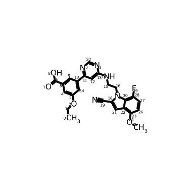 CCOc1cc(C(=O)O)cc(-c2cc(NCCn3c(C#N)cc4c(OC)ccc(F)c43)ncn2)c1